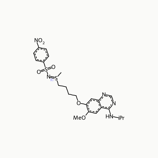 COc1cc2c(NC(C)C)ncnc2cc1OCCCC/S(C)=N/S(=O)(=O)c1ccc([N+](=O)[O-])cc1